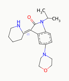 CC(C)N1C(=O)/C(=C2/CCCCN2)c2cc(N3CCOCC3)ccc21